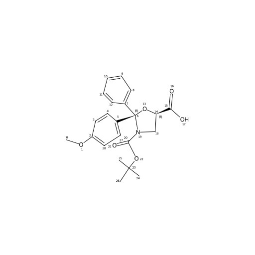 COc1ccc([C@@]2(c3ccccc3)O[C@@H](C(=O)O)CN2C(=O)OC(C)(C)C)cc1